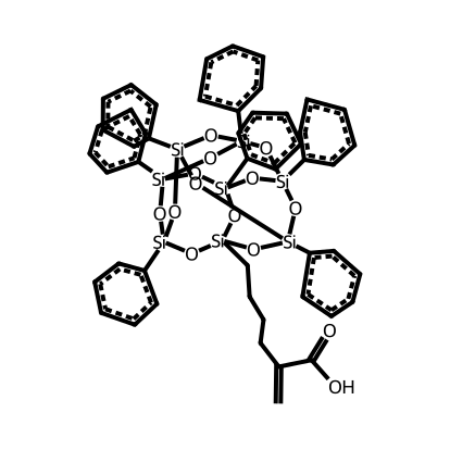 C=C(CCCC[Si]12O[Si]3(c4ccccc4)O[Si]4(c5ccccc5)O[Si](c5ccccc5)(O1)O[Si]1(c5ccccc5)O[Si](c5ccccc5)(O2)O[Si](c2ccccc2)(O3)O[Si](c2ccccc2)(O4)O1)C(=O)O